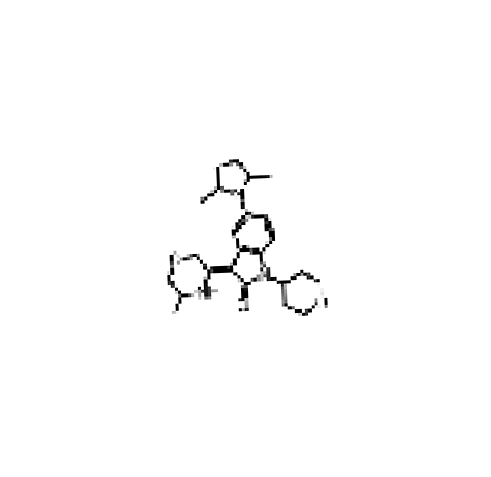 CC1COC/C(=C2/C(=O)N(C3CCOCC3)c3ccc(N4C(C)CCC4C)cc32)N1